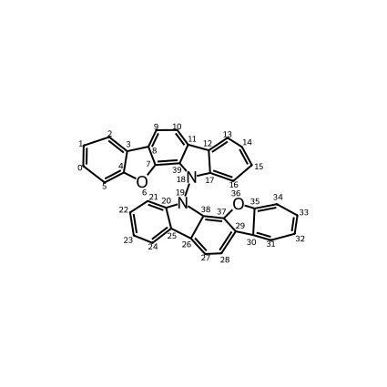 c1ccc2c(c1)oc1c2ccc2c3ccccc3n(-n3c4ccccc4c4ccc5c6ccccc6oc5c43)c21